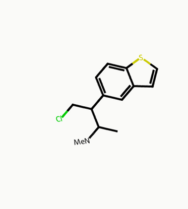 CNC(C)C(CCl)c1ccc2sccc2c1